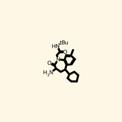 Cc1ccc2c(c1)N(CC(=O)NC(C)(C)C)C(=O)C(N)CC2C1CCCCC1